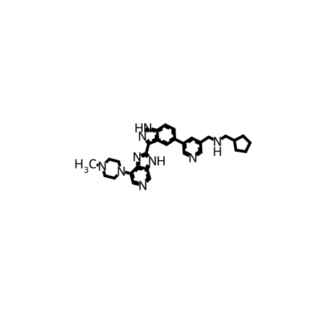 CN1CCN(c2cncc3[nH]c(-c4n[nH]c5ccc(-c6cncc(CNCC7CCCC7)c6)cc45)nc23)CC1